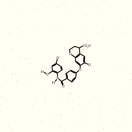 CCOc1cc(Cl)ccc1N(CC)C(=O)c1ccc(Oc2cc3c(cc2Cl)C(C(=O)O)CCO3)cc1